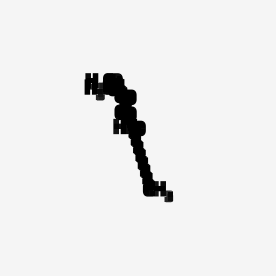 CCCCCCCCCCCCCCCC(=O)NCCOC(=O)CCC(=O)OCC1COC(C)(C)O1